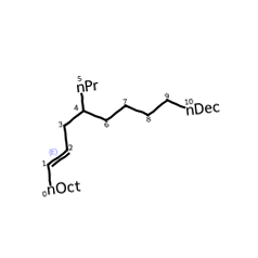 [CH2]CCCCCCC/C=C/CC(CCC)CCCCCCCCCCCCC[CH2]